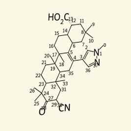 Cn1cc(C2=C3C4CC(C)(C)C[C@@H](C(=O)O)C4CCC3(C)C3(C)CCC4C(C)(C)C(=O)C(C#N)CC4(C)C3C2)cn1